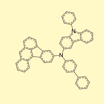 c1ccc(-c2ccc(N(c3ccc4c(c3)-c3cccc5cc6ccccc6c-4c35)c3ccc4c(c3)c3ccccc3n4-c3ccccc3)cc2)cc1